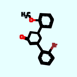 COc1ccccc1C1CC(=O)C=C(c2ccccc2Br)C1